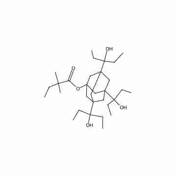 CCC(C)(C)C(=O)OC12CC3(C(O)(CC)CC)CC(C(O)(CC)CC)(C1)CC(C(O)(CC)CC)(C2)C3